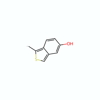 [CH2]c1scc2cc(O)ccc12